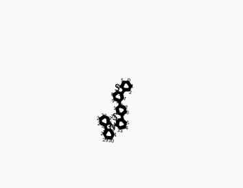 c1ccc2c(c1)sc1ccc(-c3ccc4c(c3)sc3c(-n5c6ccccc6c6ccccc65)cccc34)cc12